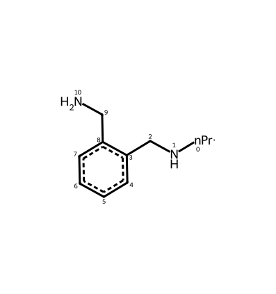 CC[CH]NCc1ccccc1CN